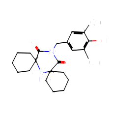 CC(C)(C)c1cc(CN2C(=O)C3(CCCCC3)NC3(CCCCC3)C2=O)cc(C(C)(C)C)c1O